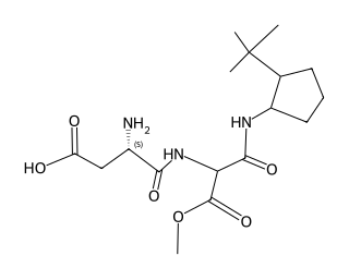 COC(=O)C(NC(=O)[C@@H](N)CC(=O)O)C(=O)NC1CCCC1C(C)(C)C